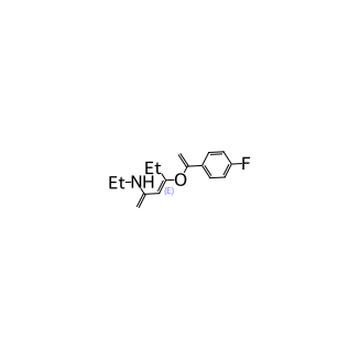 C=C(/C=C(\CC)OC(=C)c1ccc(F)cc1)NCC